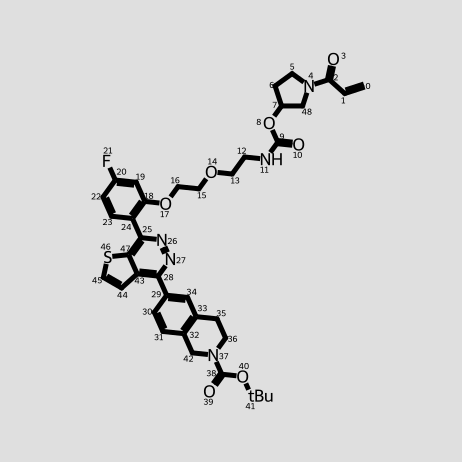 C=CC(=O)N1CCC(OC(=O)NCCOCCOc2cc(F)ccc2-c2nnc(-c3ccc4c(c3)CCN(C(=O)OC(C)(C)C)C4)c3ccsc23)C1